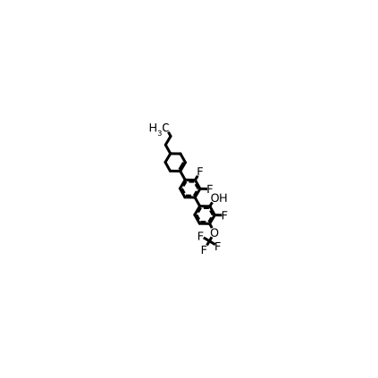 CCCC1CC=C(c2ccc(-c3ccc(OC(F)(F)F)c(F)c3O)c(F)c2F)CC1